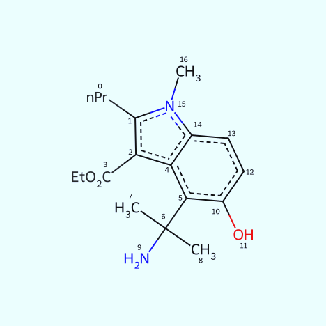 CCCc1c(C(=O)OCC)c2c(C(C)(C)N)c(O)ccc2n1C